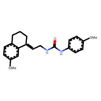 COc1ccc(NC(=O)NC/C=C2\CCCc3ccc(OC)cc32)cc1